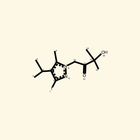 Cc1c(C(C)C)c(I)nn1CC(=O)C(C)(C)O